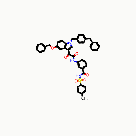 Cc1ccc(S(=O)(=O)NC(=O)c2cccc(NC(=O)C(=O)c3cn(Cc4ccc(Cc5ccccc5)cc4)c4ccc(OCc5ccccc5)cc34)c2)cc1